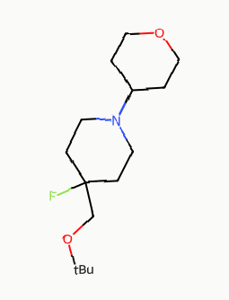 CC(C)(C)OCC1(F)CCN(C2CCOCC2)CC1